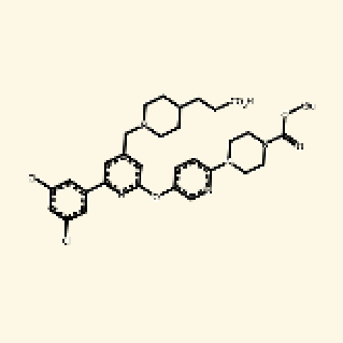 CC(C)(C)OC(=O)N1CCN(c2ccc(Oc3cc(CN4CCC(CCC(=O)O)CC4)cc(-c4cc(Cl)cc(Cl)c4)n3)cn2)CC1